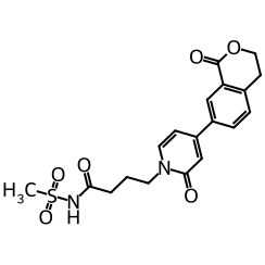 CS(=O)(=O)NC(=O)CCCn1ccc(-c2ccc3c(c2)C(=O)OCC3)cc1=O